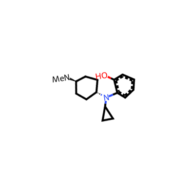 CN[C@H]1CC[C@H](N(c2ccccc2O)C2CC2)CC1